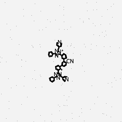 CC1C(c2nc(-c3ccccc3)nc(-c3ccncc3)n2)=CC=CC1c1ccc(C#N)c(-c2cccc(-c3nc(-c4ccccc4)n4[n+]3C4c3ccncc3)c2)c1